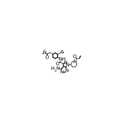 C=CC(=O)N1CCCC(n2nc(C(=O)Nc3ccc(CC(=O)N(C)C)cc3C3CC3)c3c(N)ncnc32)C1